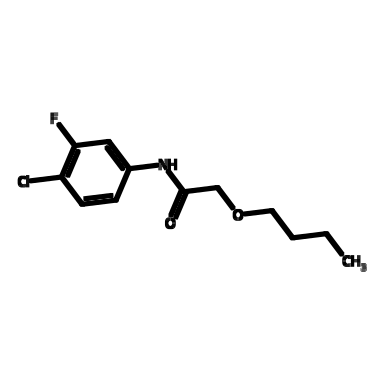 CCCCOCC(=O)Nc1ccc(Cl)c(F)c1